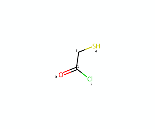 O=C(Cl)CS